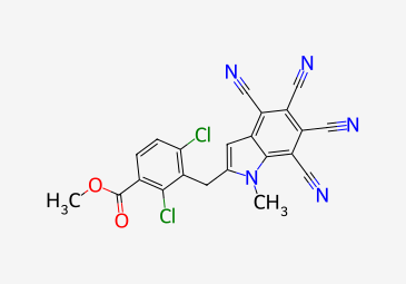 COC(=O)c1ccc(Cl)c(Cc2cc3c(C#N)c(C#N)c(C#N)c(C#N)c3n2C)c1Cl